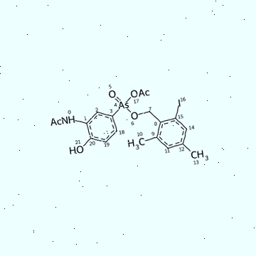 CC(=O)Nc1cc([As](=O)(OCc2c(C)cc(C)cc2I)OC(C)=O)ccc1O